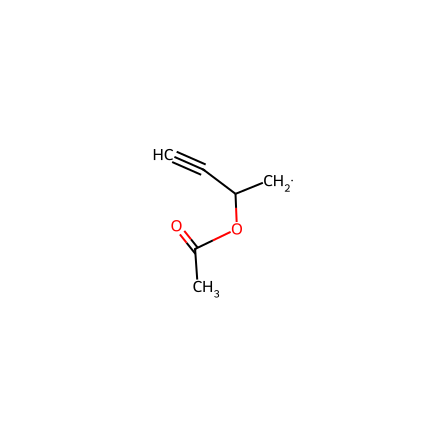 C#CC([CH2])OC(C)=O